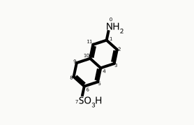 NC1C=CC2=CC(S(=O)(=O)O)=CCC2=C1